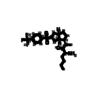 CCCC[C@H](N)C(=O)N(C)[C@H]1CC[C@@H]2CN(S(=O)(=O)c3ccc(C(F)(F)F)cc3)C[C@@H]21